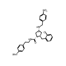 CSc1ccc(CCNC(=O)[C@@H]2C[C@H](NCc3ccc([N+](=O)[O-])cc3)CN2Cc2ccccc2Cl)cc1